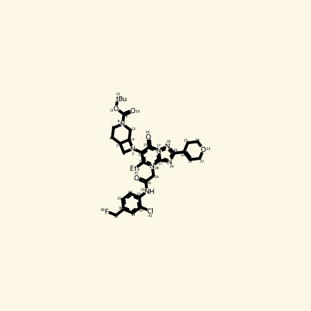 CCc1c(N2CC3CCN(C(=O)OC(C)(C)C)CC32)c(=O)n2nc(C3=CCOCC3)nc2n1CC(=O)Nc1ccc(CF)cc1Cl